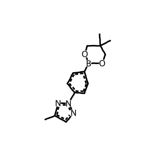 Cc1cnn(-c2ccc(B3OCC(C)(C)CO3)cc2)n1